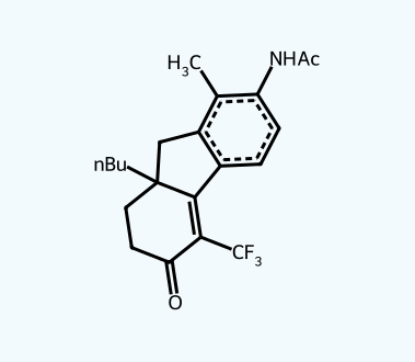 CCCCC12CCC(=O)C(C(F)(F)F)=C1c1ccc(NC(C)=O)c(C)c1C2